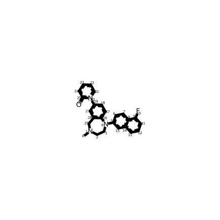 CN1CCN(c2ccc3c(F)cccc3c2)c2ccc(-n3ccccc3=O)cc2C1